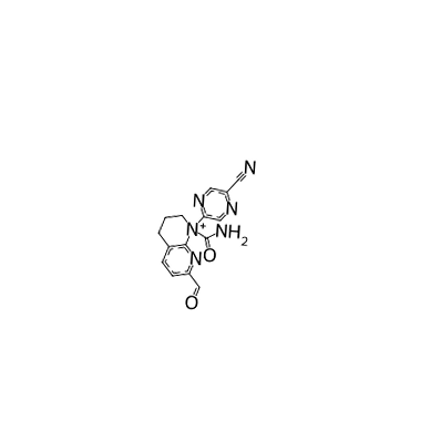 N#Cc1cnc([N+]2(C(N)=O)CCCc3ccc(C=O)nc32)cn1